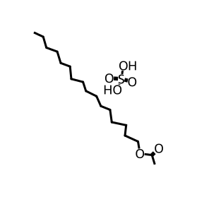 CCCCCCCCCCCCCCCCOC(C)=O.O=S(=O)(O)O